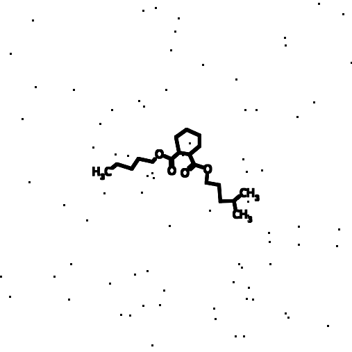 CCCCCOC(=O)C1CCCCC1C(=O)OCCCC(C)C